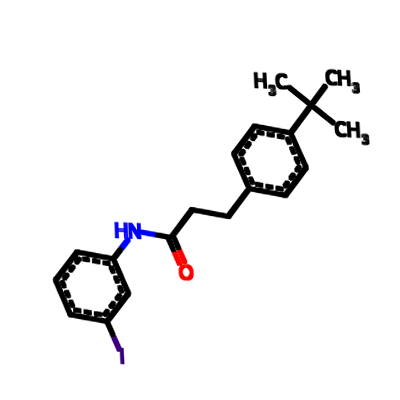 CC(C)(C)c1ccc(CCC(=O)Nc2cccc(I)c2)cc1